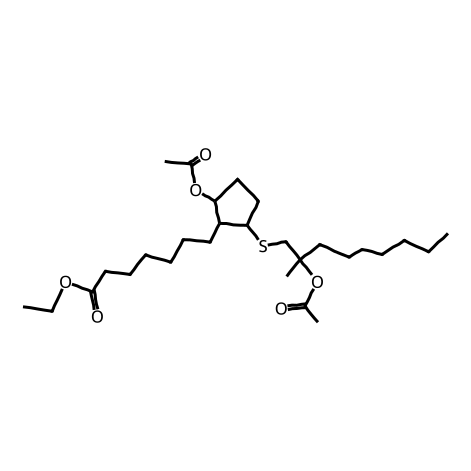 CCCCCCCC(C)(CSC1CCC(OC(C)=O)C1CCCCCCC(=O)OCC)OC(C)=O